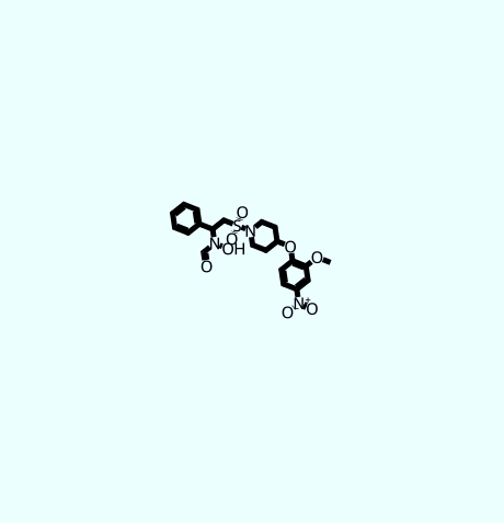 COc1cc([N+](=O)[O-])ccc1OC1CCN(S(=O)(=O)CC(c2ccccc2)N(O)C=O)CC1